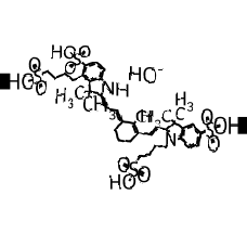 CC1(C)C(C=CC2=C(Cl)C(=CC=C3Nc4ccc(S(=O)(=O)O)c(CCCCS(=O)(=O)O)c4C3(C)C)CCC2)=[N+](CCCCS(=O)(=O)O)c2ccc(S(=O)(=O)O)cc21.[OH-]